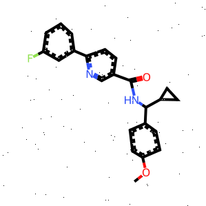 COc1ccc(C(NC(=O)c2ccc(-c3cccc(F)c3)nc2)C2CC2)cc1